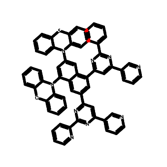 c1ccc(-c2nc(-c3cccnc3)cc(-c3cc(-c4cc(-c5cccnc5)nc(-c5ccccn5)n4)c4cc(N5c6ccccc6Sc6ccccc65)cc(N5c6ccccc6Oc6ccccc65)c4c3)n2)nc1